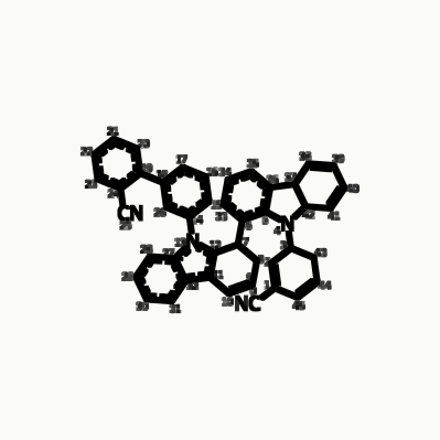 N#CC1=CC(N2c3c(C4CC=Cc5c4n(-c4cccc(-c6ccccc6C#N)c4)c4ccccc54)cccc3C3C=CC=CC32)CC=C1